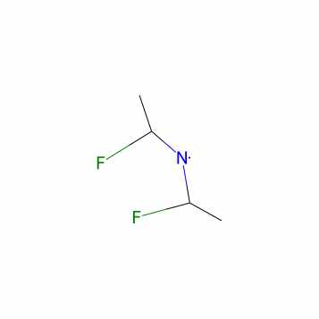 CC(F)[N]C(C)F